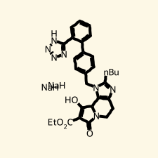 CCCCc1nc2c(n1Cc1ccc(-c3ccccc3-c3nnn[nH]3)cc1)C1C(O)=C(C(=O)OCC)C(=O)N1CC2.[NaH].[NaH]